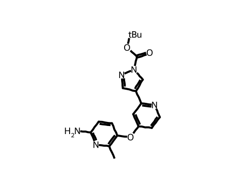 Cc1nc(N)ccc1Oc1ccnc(-c2cnn(C(=O)OC(C)(C)C)c2)c1